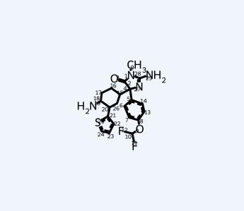 CN1C(=O)C(c2ccc(OC(F)F)cc2)(C2CCC(N)C(c3cccs3)C2)N=C1N